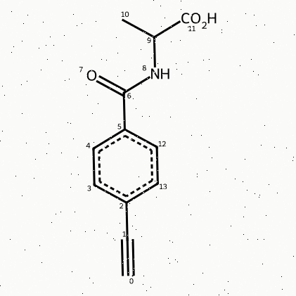 [C]#Cc1ccc(C(=O)NC(C)C(=O)O)cc1